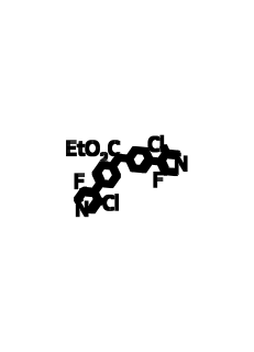 CCOC(=O)C(C1CC=C(c2c(F)cncc2Cl)CC1)C1CC=C(c2c(F)cncc2Cl)CC1